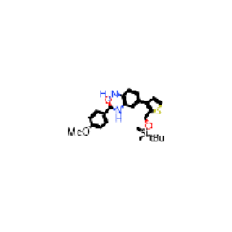 COc1ccc(C(=O)Nc2cc(-c3ccsc3CO[Si](C)(C)C(C)(C)C)ccc2N)cc1